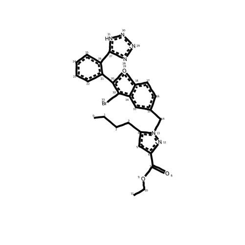 CCCCc1cc(C(=O)OCC)nn1Cc1ccc2oc(-c3ccccc3-c3nnn[nH]3)c(Br)c2c1